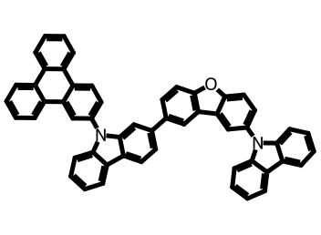 c1ccc2c(c1)c1ccccc1c1cc(-n3c4ccccc4c4ccc(-c5ccc6oc7ccc(-n8c9ccccc9c9ccccc98)cc7c6c5)cc43)ccc21